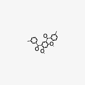 COc1cc(OC)c(C(=O)c2cccc(C)c2)cc1C(=O)c1cccc(C)c1